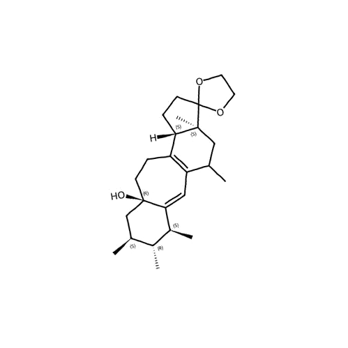 CC1C[C@@]2(C)[C@@H](CCC23OCCO3)C2=C1C=C1[C@@H](C)[C@H](C)[C@@H](C)C[C@]1(O)CC2